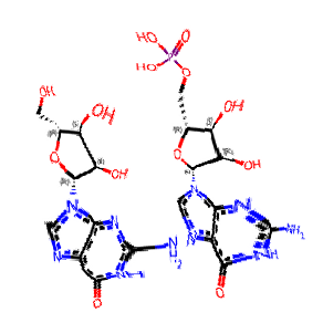 Nc1nc2c(ncn2[C@@H]2O[C@H](CO)[C@@H](O)[C@H]2O)c(=O)[nH]1.Nc1nc2c(ncn2[C@@H]2O[C@H](COP(=O)(O)O)[C@@H](O)[C@H]2O)c(=O)[nH]1